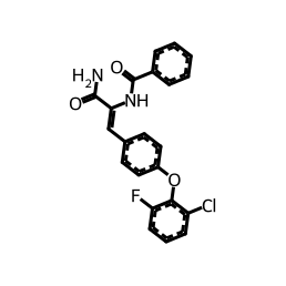 NC(=O)C(=Cc1ccc(Oc2c(F)cccc2Cl)cc1)NC(=O)c1ccccc1